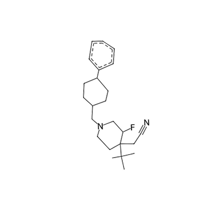 CC(C)(C)C1(CC#N)CCN(CC2CCC(c3ccccc3)CC2)CC1F